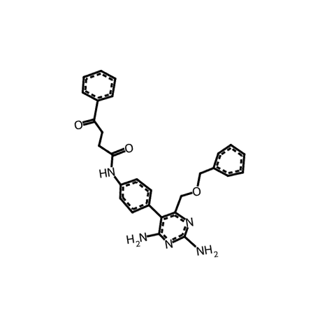 Nc1nc(N)c(-c2ccc(NC(=O)CCC(=O)c3ccccc3)cc2)c(COCc2ccccc2)n1